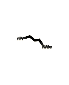 CCCCC[CH]NC